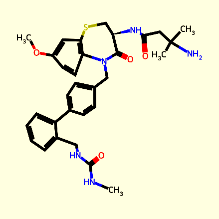 CNC(=O)NCc1ccccc1-c1ccc(CN2C(=O)[C@H](NC(=O)CC(C)(C)N)CSc3cc(OC)ccc32)cc1